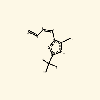 C=C/C=C\c1sc(C(C)(C)C)nc1C